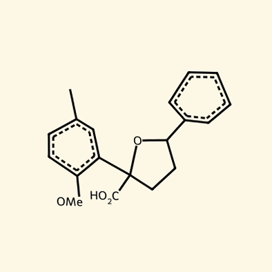 COc1ccc(C)cc1C1(C(=O)O)CCC(c2ccccc2)O1